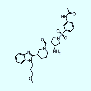 COCCCn1c([C@@H]2CCCN(C(=O)[C@@H]3CN(S(=O)(=O)c4cccc(NC(C)=O)c4)C[C@H]3N)C2)nc2ccccc21